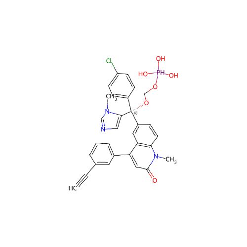 C#Cc1cccc(-c2cc(=O)n(C)c3ccc([C@](OCO[PH](O)(O)O)(c4ccc(Cl)cc4)c4cncn4C)cc23)c1